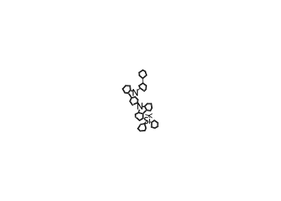 CC(C)(C)[Si](c1ccccc1)(c1ccccc1)c1cccc2c1c1ccccc1n2-c1ccc2c3ccccc3n(-c3cccc(-c4ccccc4)c3)c2c1